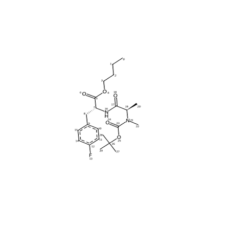 CCCCOC(=O)[C@@H](Cc1ccc(F)cc1)NC(=O)[C@@H](C)N(C)C(=O)OC(C)(C)C